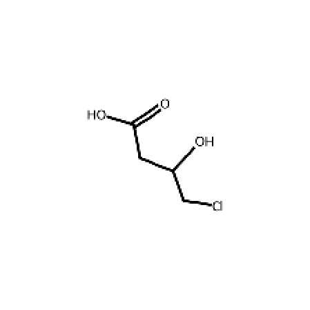 O=C(O)CC(O)CCl